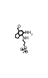 CS(=O)(=O)OCCCNc1c(N)cc(C=O)c2c1CCC2